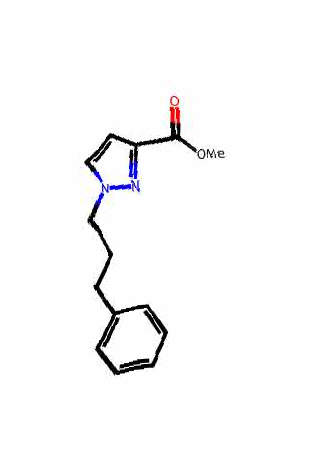 COC(=O)c1ccn(CCCc2ccccc2)n1